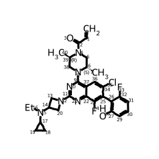 C=CC(=O)N1C[C@H](C)N(c2nc(N3CC(N(CC)C4CC4)C3)nc3c(F)c(-c4c(O)cccc4F)c(Cl)cc23)C[C@H]1C